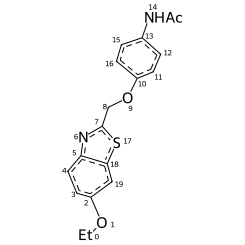 CCOc1ccc2nc(COc3ccc(NC(C)=O)cc3)sc2c1